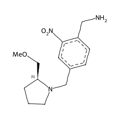 COC[C@@H]1CCCN1Cc1ccc(CN)c([N+](=O)[O-])c1